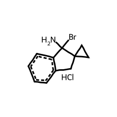 Cl.NC1(Br)c2ccccc2CC12CC2